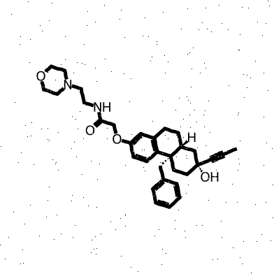 CC#C[C@@]1(O)CC[C@@]2(Cc3ccccc3)c3ccc(OCC(=O)NCCN4CCOCC4)cc3CC[C@@H]2C1